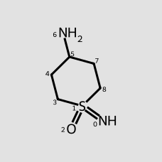 N=S1(=O)CCC(N)CC1